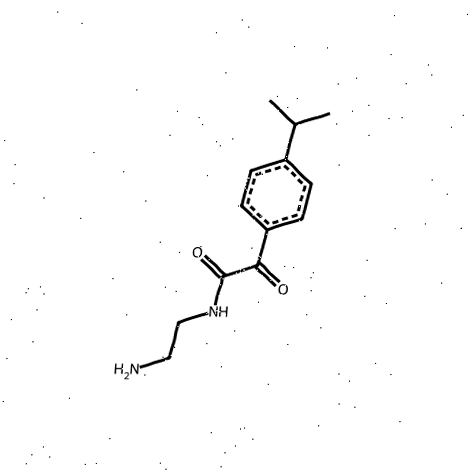 CC(C)c1ccc(C(=O)C(=O)NCCN)cc1